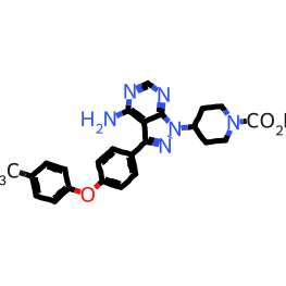 Nc1ncnc2c1c(-c1ccc(Oc3ccc(C(F)(F)F)cc3)cc1)nn2C1CCN(C(=O)O)CC1